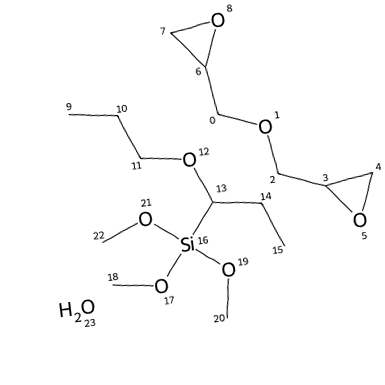 C(OCC1CO1)C1CO1.CCCOC(CC)[Si](OC)(OC)OC.O